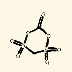 O=C1OS(=O)(=O)CS(=O)(=O)O1